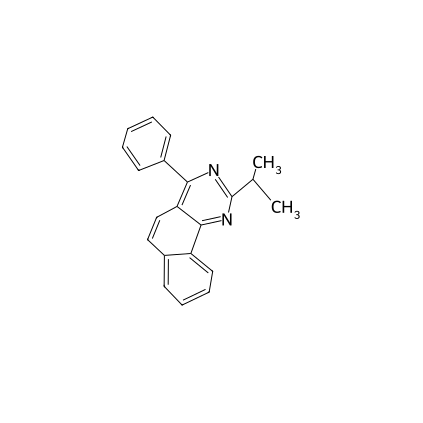 CC(C)c1nc(-c2ccccc2)c2ccc3ccccc3c2n1